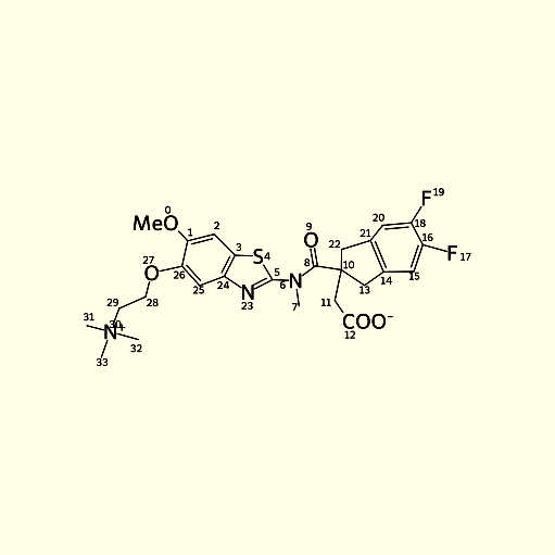 COc1cc2sc(N(C)C(=O)C3(CC(=O)[O-])Cc4cc(F)c(F)cc4C3)nc2cc1OCC[N+](C)(C)C